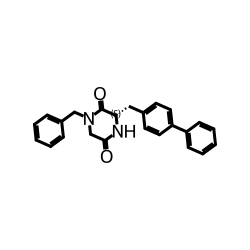 O=C1CN(Cc2ccccc2)C(=O)[C@H](Cc2ccc(-c3ccccc3)cc2)N1